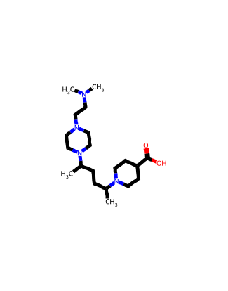 CC(CCC(C)N1CCN(CCN(C)C)CC1)N1CCC(C(=O)O)CC1